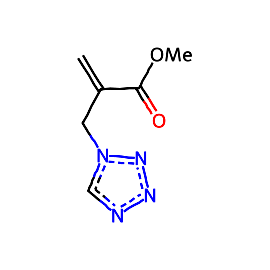 C=C(Cn1cnnn1)C(=O)OC